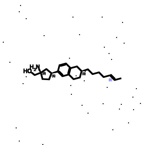 C/C=C/CCCC[C@H]1CCc2cc([C@H]3CC[C@](N)(CO)C3)ccc2C1